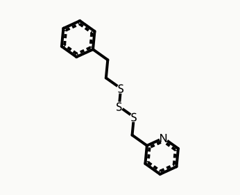 c1ccc(CCSSSCc2ccccn2)cc1